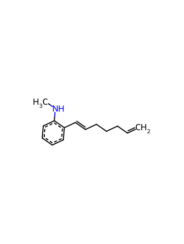 C=CCCC/C=C/c1ccccc1NC